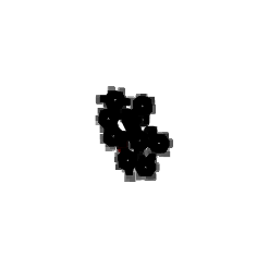 Cc1ccc(C)c(N2c3ccccc3-c3ccccc3C34c5ccccc5-c5ccc(C)cc5N(c5ccccc5C)c5cc3c(c3oc6ccccc6c53)-c3c4cc2c2c3oc3ccccc32)c1